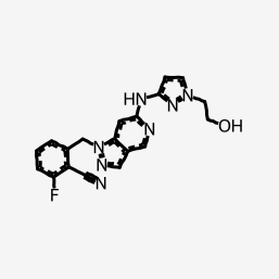 N#Cc1c(F)cccc1Cn1ncc2cnc(Nc3ccn(CCO)n3)cc21